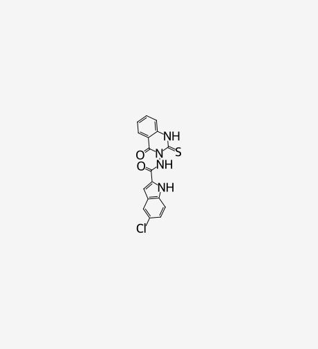 O=C(Nn1c(=S)[nH]c2ccccc2c1=O)c1cc2cc(Cl)ccc2[nH]1